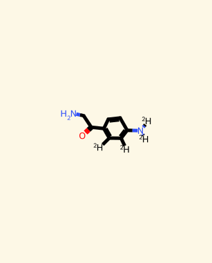 [2H]c1c(C(=O)CN)ccc(N([2H])[2H])c1[2H]